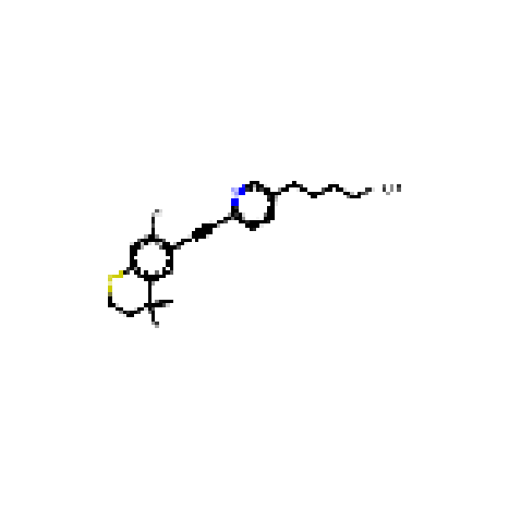 CCOC(=O)CCCCc1ccc(C#Cc2cc3c(cc2CC)SCCC3(C)C)nc1